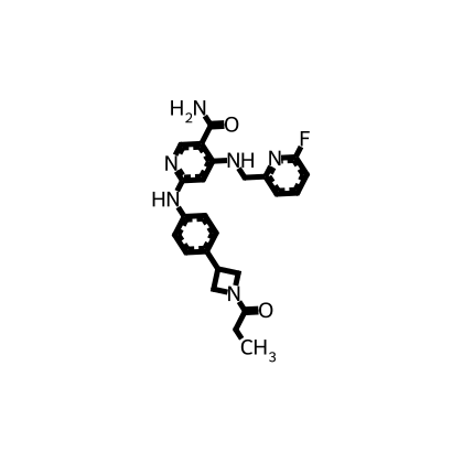 CCC(=O)N1CC(c2ccc(Nc3cc(NCc4cccc(F)n4)c(C(N)=O)cn3)cc2)C1